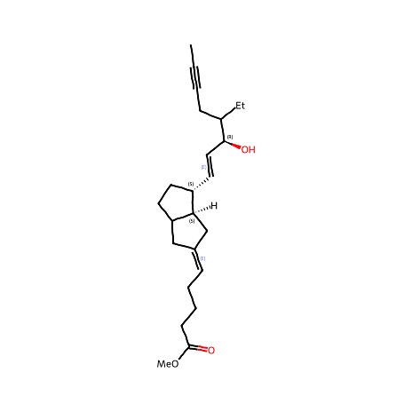 CC#CCC(CC)[C@@H](O)/C=C/[C@H]1CCC2C/C(=C\CCCC(=O)OC)C[C@@H]21